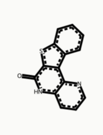 O=c1[nH]c2cccnc2c2c1sc1ccccc12